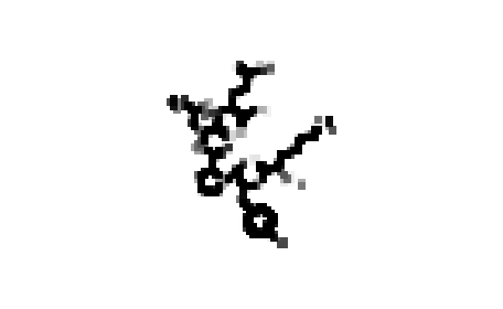 CC(C)C[C@H](NC(=O)[C@@H]1CCCN1C(=O)[C@H](Cc1ccc(O)cc1)NC(=O)[C@@H](N)CCCCN)C(=O)N[C@@H](CCC(=O)O)C(=O)O